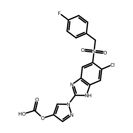 O=C(O)Oc1cnn(-c2nc3cc(S(=O)(=O)Cc4ccc(F)cc4)c(Cl)cc3[nH]2)c1